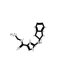 CCOC(=O)c1coc(NC2Cc3ccccc3C2)n1